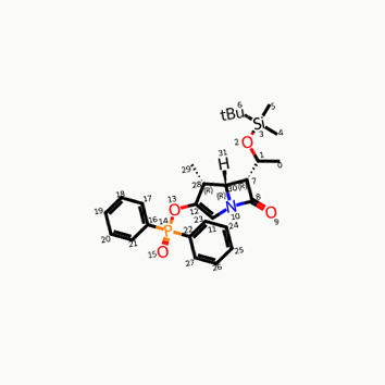 CC(O[Si](C)(C)C(C)(C)C)[C@@H]1C(=O)N2C=C(OP(=O)(c3ccccc3)c3ccccc3)[C@H](C)[C@H]12